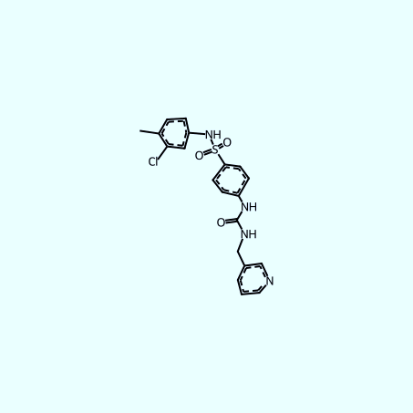 Cc1ccc(NS(=O)(=O)c2ccc(NC(=O)NCc3cccnc3)cc2)cc1Cl